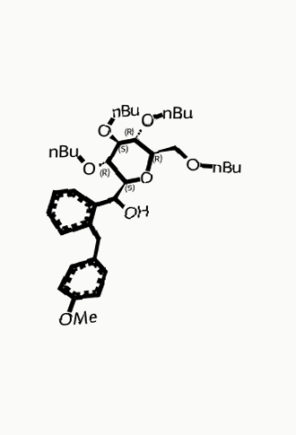 CCCCOC[C@H]1O[C@@H](C(O)c2ccccc2Cc2ccc(OC)cc2)[C@H](OCCCC)[C@@H](OCCCC)[C@@H]1OCCCC